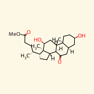 COC(=O)CC[C@@H](C)[C@H]1CC[C@H]2[C@@H]3C(=O)C[C@@H]4C[C@H](O)CC[C@]4(C)[C@H]3C[C@H](O)[C@]12C